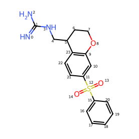 N=C(N)NCC1CCOc2cc(S(=O)(=O)c3ccccc3)ccc21